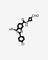 CCCc1nc(-c2ccc(Cl)cc2)nc2cc(C(=O)NC3CC(C=O)C3)ccc12